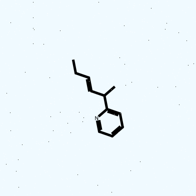 CC/C=C/C(C)c1ccccn1